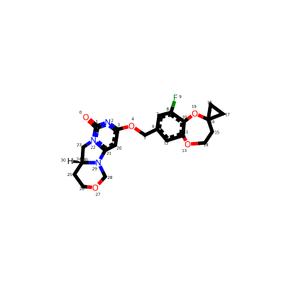 O=c1nc(OCc2cc(F)c3c(c2)OCCC2(CC2)O3)cc2n1C[C@H]1CCOCN21